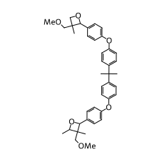 COCC1(C)COC1c1ccc(Oc2ccc(C(C)(C)c3ccc(Oc4ccc(C5OC(C)C5(C)COC)cc4)cc3)cc2)cc1